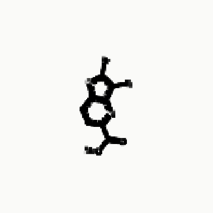 COC(=O)c1ccc2oc(Br)c(Br)c2n1